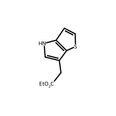 CCOC(=O)Cc1c[nH]c2ccsc12